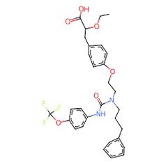 CCOC(Cc1ccc(OCCN(CCCc2ccccc2)C(=O)Nc2ccc(OC(F)(F)F)cc2)cc1)C(=O)O